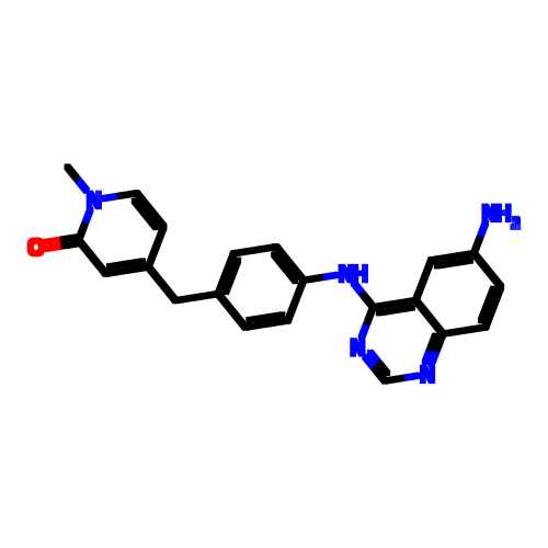 Cn1ccc(Cc2ccc(Nc3ncnc4ccc(N)cc34)cc2)cc1=O